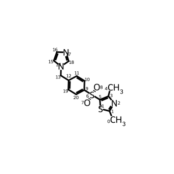 Cc1nc(C)c(S(=O)(=O)c2ccc(Cn3ccnc3)cc2)s1